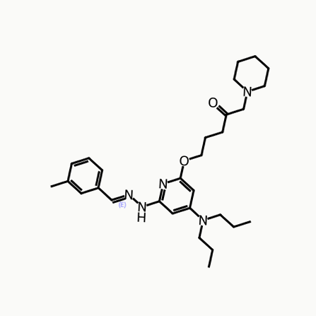 CCCN(CCC)c1cc(N/N=C/c2cccc(C)c2)nc(OCCCC(=O)CN2CCCCC2)c1